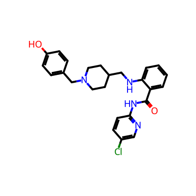 O=C(Nc1ccc(Cl)cn1)c1ccccc1NCC1CCN(Cc2ccc(O)cc2)CC1